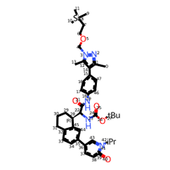 Cc1nn(COCC[Si](C)(C)C)c(C)c1-c1ccc(NC(=O)C(NC(=O)OC(C)(C)C)[C@@H]2CCCc3ccc(-c4ccc(=O)n(C(C)C)c4)cc32)cc1